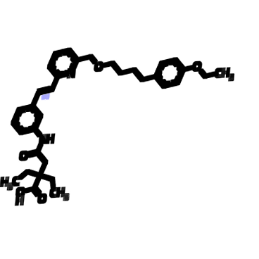 CCOc1ccc(CCCCOCc2cccc(/C=C/c3cccc(NC(=O)CC(CC)(CC)C(=O)O)c3)n2)cc1